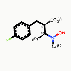 CCC[C@@H]([C@@H](Cc1ccc(F)cc1)C(=O)O)N(O)C=O